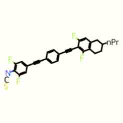 CCCC1CCc2c(cc(F)c(C#Cc3ccc(C#Cc4cc(F)c(N=C=S)c(F)c4)cc3)c2F)C1